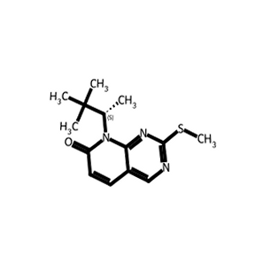 CSc1ncc2ccc(=O)n([C@@H](C)C(C)(C)C)c2n1